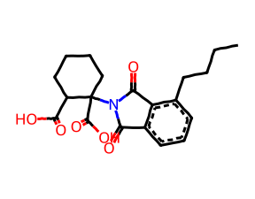 CCCCc1cccc2c1C(=O)N(C1(C(=O)O)CCCCC1C(=O)O)C2=O